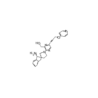 N[C@@H]1c2ccccc2CC12CCN(c1ncc(C#CCOc3ccncc3)nc1CO)CC2